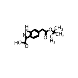 CC(C)(C)OC(=O)Cc1ccc2c(C(=O)O)n[nH]c2c1